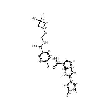 Cc1ncc(C(=O)NCCN2CC(F)(F)C2)cc1NC(=O)c1cnn2cc(-c3cnn(C)c3)sc12